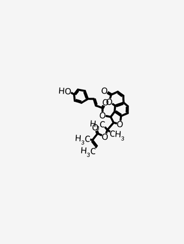 C/C=C(\C)C(=O)OC(C)(C)C1Oc2ccc3ccc(=O)oc3c2C1OC(=O)/C=C/c1ccc(O)cc1